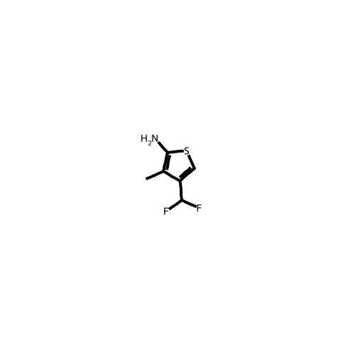 Cc1c(C(F)F)csc1N